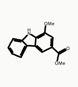 COC(=O)c1cc(OC)c2[nH]c3ccccc3c2c1